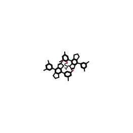 CC1=Cc2c(-c3cc(C)cc(C)c3)c3c(c(-c4cc(C)cc(C)c4)c2C1S(C)(C)C1C(C)=Cc2c(-c4cc(C)cc(C)c4)c4c(c(-c5cc(C)cc(C)c5)c21)CCC4)CCC3